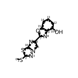 CSc1nn2cc(-c3nc4c(O)cccc4o3)nc2s1